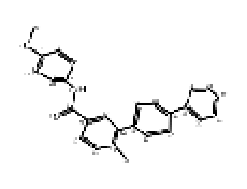 COc1ccc(NC(=O)c2ccc(C)c(-c3ccc(-c4ccccc4)cc3)c2)cn1